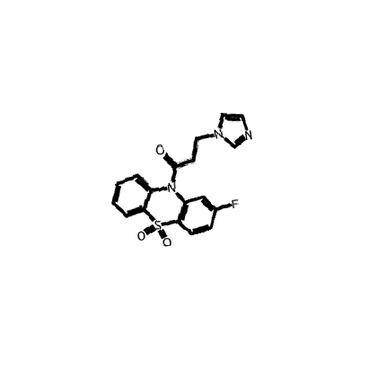 O=C(CCn1ccnc1)N1c2ccccc2S(=O)(=O)c2ccc(F)cc21